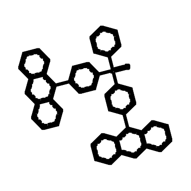 O=P(c1ccccc1)(c1ccc(-c2c3ccccc3cc3ccccc23)cc1)c1ccc(-c2c3ccccc3cc3ccccc23)cc1